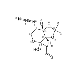 C=CCC1(O)OC[C@H](N=[N+]=[N-])[C@@H]2OC(C)(C)O[C@@H]21